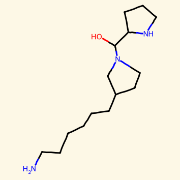 NCCCCCCC1CCN(C(O)C2CCCN2)C1